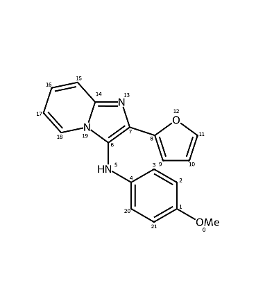 COc1ccc(Nc2c(-c3ccco3)nc3ccccn23)cc1